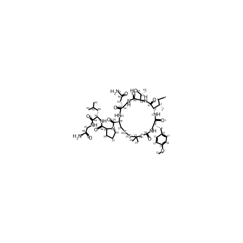 CC[C@H](C)[C@@H]1NC(=O)[C@H](Cc2ccc(OC)cc2)NC(=O)CC(C)(C)SSC[C@@H](C(=O)N2CCCC2C(=O)N[C@@H](CC(C)C)C(=O)NCC(N)=O)NC(=O)[C@H](CC(N)=O)NC(=O)C([C@@H](C)O)NC1=O